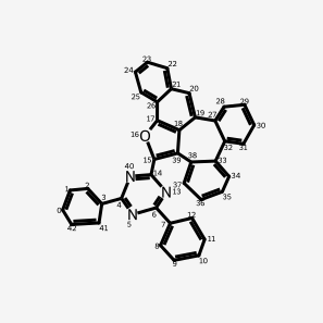 c1ccc(-c2nc(-c3ccccc3)nc(-c3oc4c5c(cc6ccccc64)-c4ccccc4-c4ccccc4-c35)n2)cc1